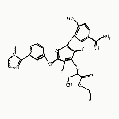 CCOC(=O)C(CO)Oc1c(F)c(Oc2cccc(-c3nccn3C)c2)nc(Oc2cc(C(=N)N)ccc2O)c1F